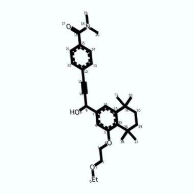 CCOCCOc1cc(C(O)C#Cc2ccc(C(=O)N(C)C)cc2)cc2c1C(C)(C)CCC2(C)C